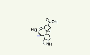 Cl.O=C(O)c1cnc2c(c1)OC/C=C\C1C2CCC2NCCC21